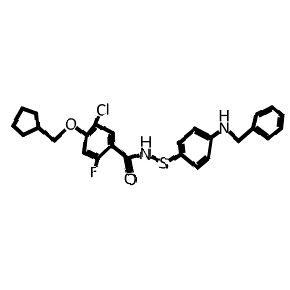 O=C(NSc1ccc(NCc2ccccc2)cc1)c1cc(Cl)c(OCC2CCCC2)cc1F